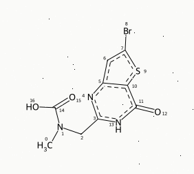 CN(Cc1nc2cc(Br)sc2c(=O)[nH]1)C(=O)O